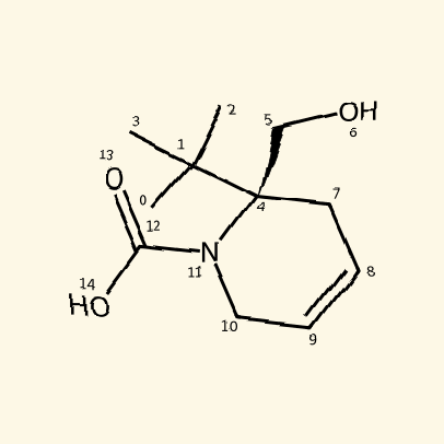 CC(C)(C)[C@]1(CO)CC=CCN1C(=O)O